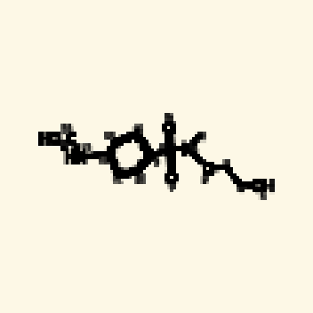 CN(OCCO)S(=O)(=O)c1ccc(NC(=O)O)cc1